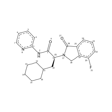 O=C(Nc1ccccn1)[C@H](CC1CCCCC1)N1Cc2c(F)cccc2C1=O